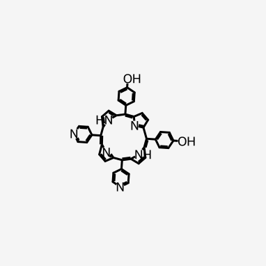 Oc1ccc(-c2c3nc(c(-c4ccc(O)cc4)c4ccc([nH]4)c(-c4ccncc4)c4nc(c(-c5ccncc5)c5ccc2[nH]5)C=C4)C=C3)cc1